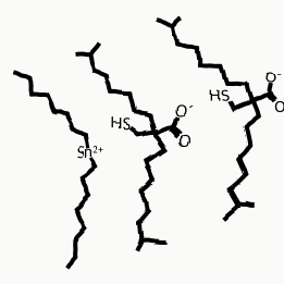 CC(C)CCCCCCC(CS)(CCCCCCC(C)C)C(=O)[O-].CC(C)CCCCCCC(CS)(CCCCCCC(C)C)C(=O)[O-].CCCCCCC[CH2][Sn+2][CH2]CCCCCCC